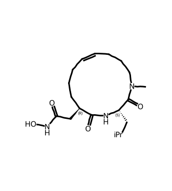 CC(C)C[C@@H]1NC(=O)[C@@H](CC(=O)NO)CCCC=CCCCN(C)C1=O